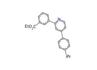 CCOC(=O)c1cccc(-c2cc(-c3ccc(C(C)C)cc3)ccn2)c1